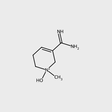 C[N+]1(O)CCC=C(C(=N)N)C1